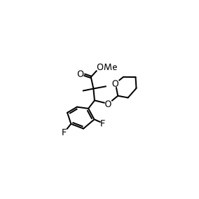 COC(=O)C(C)(C)C(OC1CCCCO1)c1ccc(F)cc1F